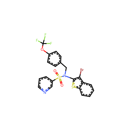 O=S(=O)(c1cccnc1)N(Cc1ccc(OC(F)(F)F)cc1)c1sc2ccccc2c1Br